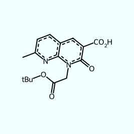 Cc1ccc2cc(C(=O)O)c(=O)n(CC(=O)OC(C)(C)C)c2n1